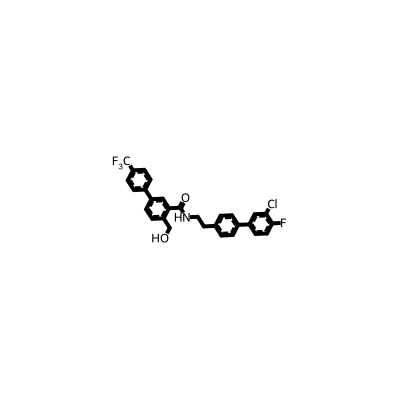 O=C(NCCc1ccc(-c2ccc(F)c(Cl)c2)cc1)c1cc(-c2ccc(C(F)(F)F)cc2)ccc1CO